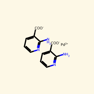 Nc1ncccc1C(=O)[O-].Nc1ncccc1C(=O)[O-].[Pd+2]